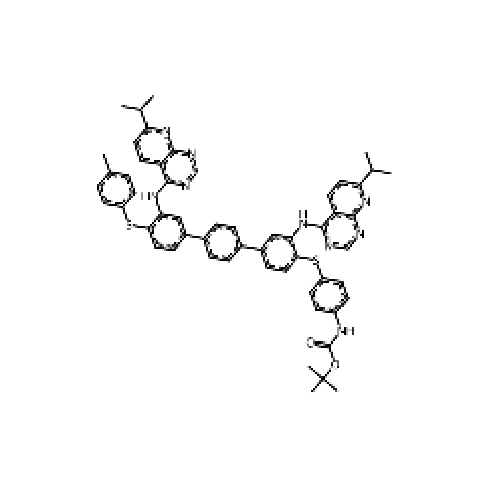 Cc1ccc(Sc2ccc(-c3ccc(-c4ccc(Sc5ccc(NC(=O)OC(C)(C)C)cc5)c(Nc5ncnc6nc(C(C)C)ccc56)c4)cc3)cc2Nc2ncnc3nc(C(C)C)ccc23)cc1